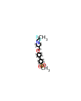 CC(F)(F)CN1CCC(COc2ccc(-c3ccc(S(C)(=O)=O)cc3)cc2)CC1